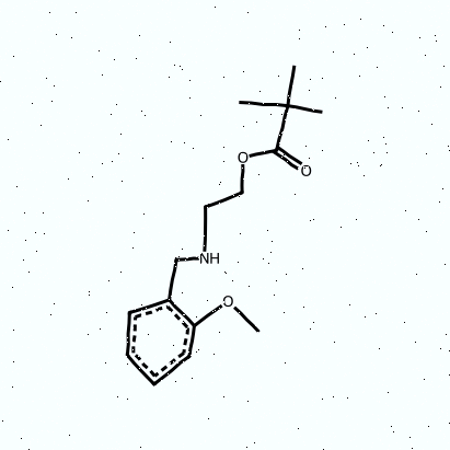 COc1ccccc1CNCCOC(=O)C(C)(C)C